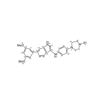 CCN1CCN(c2ccc(Nc3n[nH]c4cc(-c5cc(OC)cc(OC)c5)ccc34)cc2)CC1